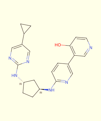 Oc1ccncc1-c1ccc(N[C@H]2CC[C@H](Nc3ncc(C4CC4)cn3)C2)nc1